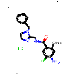 COc1cc(N)c(Cl)cc1C(=O)NCC1=NCCN1Cc1ccccc1.Cl